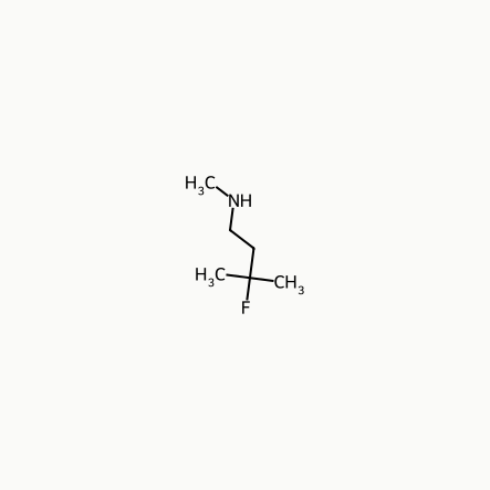 CNCCC(C)(C)F